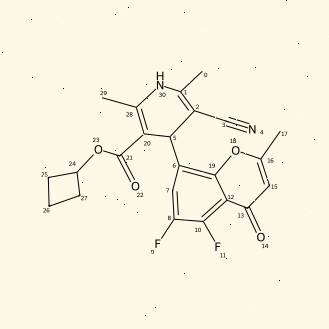 CC1=C(C#N)C(c2cc(F)c(F)c3c(=O)cc(C)oc23)C(C(=O)OC2CCC2)=C(C)N1